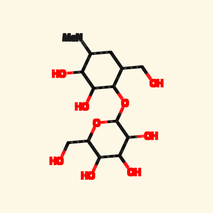 CNC1CC(CO)C(OC2OC(CO)C(O)C(O)C2O)C(O)C1O